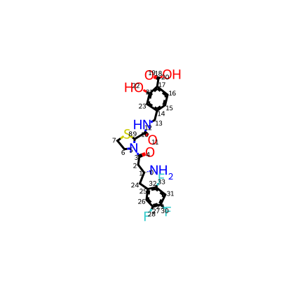 N[C@@H](CC(=O)N1CCSC1C(=O)NCc1ccc(C(=O)O)c(O)c1)Cc1cc(F)c(F)cc1F